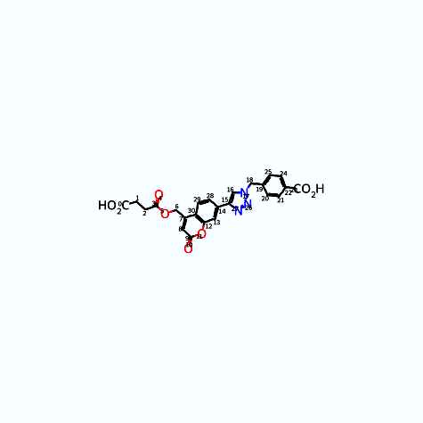 O=C(O)CCC(=O)OCc1cc(=O)oc2cc(-c3cn(Cc4ccc(C(=O)O)cc4)nn3)ccc12